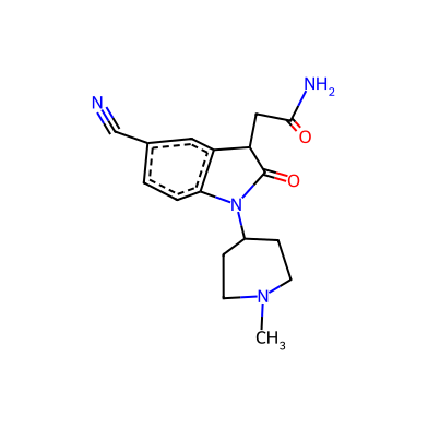 CN1CCC(N2C(=O)C(CC(N)=O)c3cc(C#N)ccc32)CC1